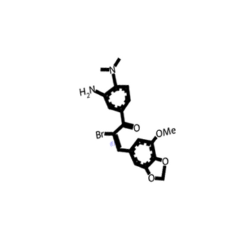 COc1cc(/C=C(/Br)C(=O)c2ccc(N(C)C)c(N)c2)cc2c1OCO2